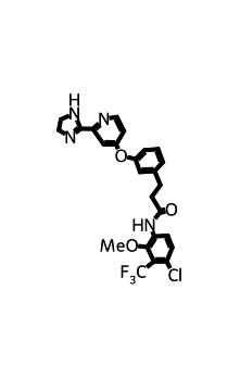 COc1c(NC(=O)CCc2cccc(Oc3ccnc(C4=NCCN4)c3)c2)ccc(Cl)c1C(F)(F)F